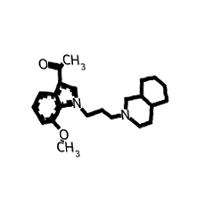 COc1cccc2c(C(C)=O)cn(CCCN3CCC4CCCCC4C3)c12